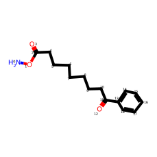 NOC(=O)CCCCCCCC(=O)c1ccccc1